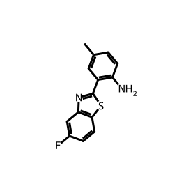 Cc1ccc(N)c(-c2nc3cc(F)ccc3s2)c1